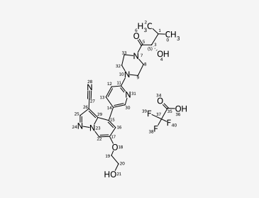 CC(C)[C@H](O)C(=O)N1CCN(c2ccc(-c3cc(OCCO)cn4ncc(C#N)c34)cn2)CC1.O=C(O)C(F)(F)F